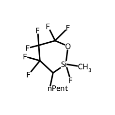 CCCCCC1C(F)(F)C(F)(F)C(F)(F)O[Si]1(C)F